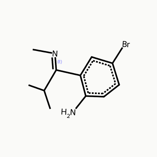 C/N=C(/c1cc(Br)ccc1N)C(C)C